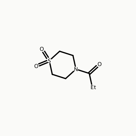 [CH2]CC(=O)N1CCS(=O)(=O)CC1